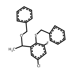 CC(OCc1ccccc1)c1cc(Cl)cc(F)c1SCc1ccccc1